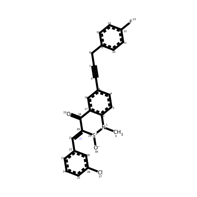 CN1c2ccc(C#CCc3ccc(F)cc3)cc2C(=O)/C(=C/c2cccc(Cl)c2)[S+]1[O-]